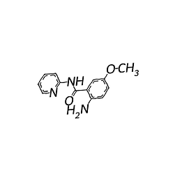 COc1ccc(N)c(C(=O)Nc2ccccn2)c1